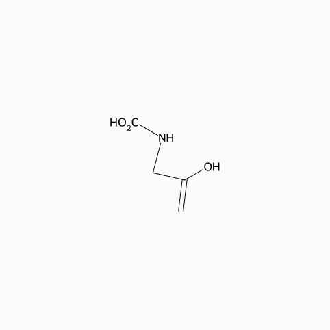 C=C(O)CNC(=O)O